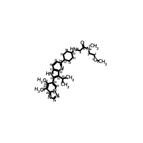 COCCN(C)C(=O)CNC1CCC(c2ccc3[nH]c(-c4cn5ncnc5c(C)c4C)c(C(C)C)c3n2)CC1